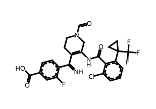 N=C(C1=C(NC(=O)c2c(Cl)cccc2C2(C(F)(F)F)CC2)CN(C=O)CC1)c1ccc(C(=O)O)cc1F